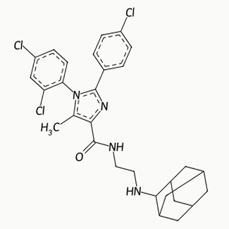 Cc1c(C(=O)NCCNC2C3CC4CC(C3)CC2C4)nc(-c2ccc(Cl)cc2)n1-c1ccc(Cl)cc1Cl